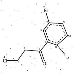 O=C(CCCl)c1cc(Br)ccc1I